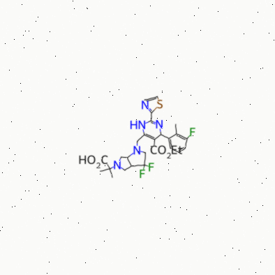 CCOC(=O)C1=C(CN2CC(F)(F)C3CN(C(C)(C)C(=O)O)CC32)NC(c2nccs2)=NC1c1cccc(F)c1C